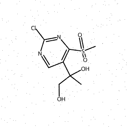 CC(O)(CO)c1cnc(Cl)nc1S(C)(=O)=O